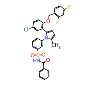 Cc1ccc(-c2cc(Cl)ccc2OCc2ccc(F)cc2F)n1-c1cccc(S(=O)(=O)NC(=O)c2ccccc2)c1